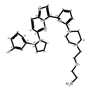 NCCOCCN1CCN(c2cccc(-c3cnc4ccc(N5CCC[C@H]5c5cccc(F)c5)nn34)n2)CC1